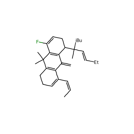 C=C1C2=C(CCC=C2/C=C\C)C(C)(C)C2=C1C(C(C)(C=CCC)C(C)CC)CC=C2F